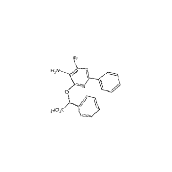 CC(C)c1cc(-c2ccccc2)nc(OC(C(=O)O)c2ccccc2)c1N